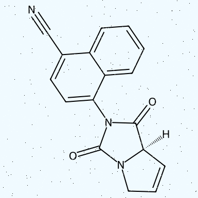 N#Cc1ccc(N2C(=O)[C@H]3C=CCN3C2=O)c2ccccc12